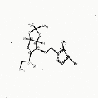 CC[C@@H](O)[C@H]1O[C@@H]2OC(C)(C)O[C@@H]2[C@H]1OCc1ccc(Br)cc1C